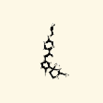 C#CCOc1cnc(C(F)=Cc2ccc(F)c(C3(C)CCOC(N)=N3)c2)cn1